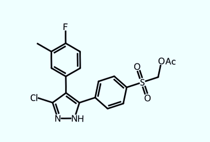 CC(=O)OCS(=O)(=O)c1ccc(-c2[nH]nc(Cl)c2-c2ccc(F)c(C)c2)cc1